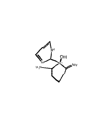 N=C1CCCC(N)[N+]1(O)C1N=CC=CN1